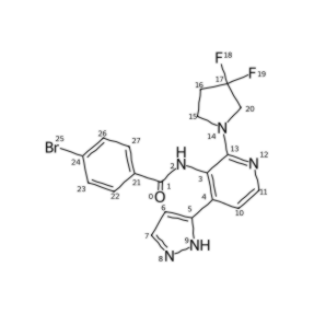 O=C(Nc1c(-c2ccn[nH]2)ccnc1N1CCC(F)(F)C1)c1ccc(Br)cc1